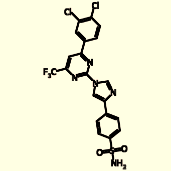 NS(=O)(=O)c1ccc(-c2cn(-c3nc(-c4ccc(Cl)c(Cl)c4)cc(C(F)(F)F)n3)cn2)cc1